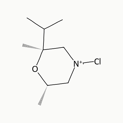 CC(C)[C@@]1(C)C[N+](Cl)C[C@H](C)O1